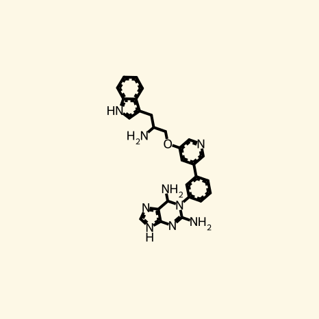 NC1=Nc2[nH]cnc2C(N)N1c1cccc(-c2cncc(OCC(N)Cc3c[nH]c4ccccc34)c2)c1